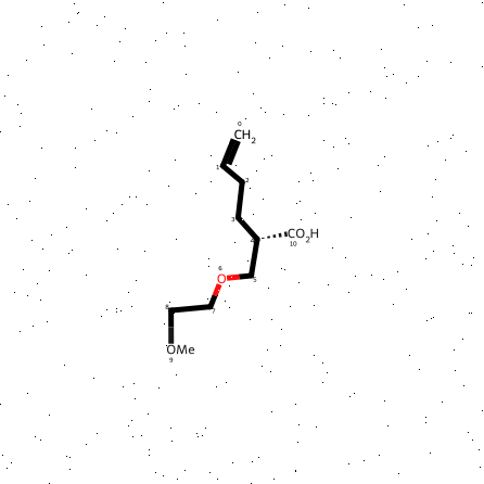 C=CCC[C@@H](COCCOC)C(=O)O